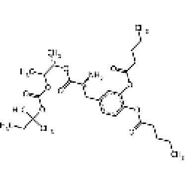 CCCCC(=O)Oc1ccc(C[C@H](N)C(=O)O[C@@H](C)C(C)OC(=O)OC(C)(C)CC)cc1OC(=O)CCCC